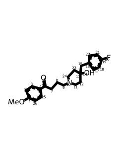 COc1ccc(C(=O)CCCN2CCC(O)(Cc3ccc(F)cc3)CC2)cc1